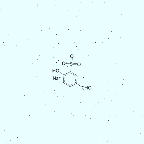 O=Cc1ccc(O)c(S(=O)(=O)[O-])c1.[Na+]